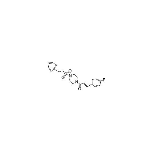 O=C(C=Cc1ccc(F)cc1)N1CCN(S(=O)(=O)CCc2ccccc2)CC1